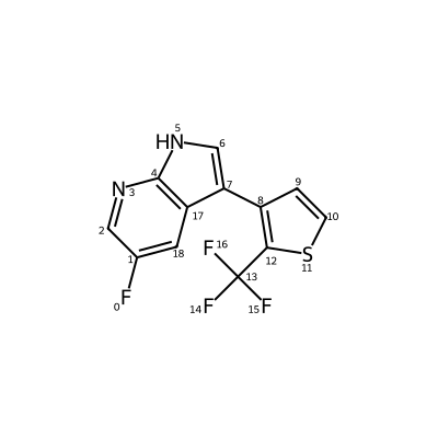 Fc1cnc2[nH]cc(-c3ccsc3C(F)(F)F)c2c1